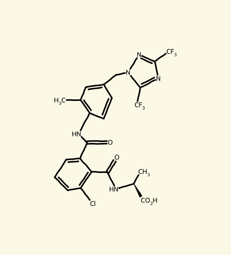 Cc1cc(Cn2nc(C(F)(F)F)nc2C(F)(F)F)ccc1NC(=O)c1cccc(Cl)c1C(=O)N[C@@H](C)C(=O)O